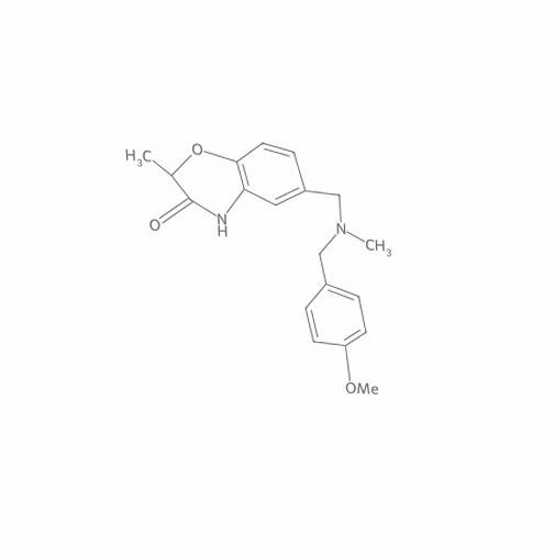 COc1ccc(CN(C)Cc2ccc3c(c2)NC(=O)C(C)O3)cc1